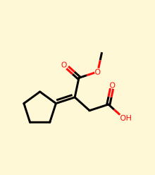 COC(=O)C(CC(=O)O)=C1CCCC1